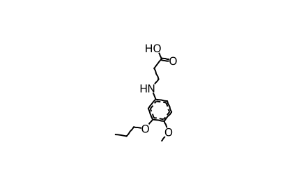 CCCOc1cc(NCCC(=O)O)ccc1OC